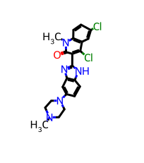 CN1CCN(c2ccc3[nH]c(-c4c(Cl)c5cc(Cl)ccc5n(C)c4=O)nc3c2)CC1